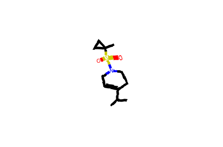 CC(C)C1=CCN(S(=O)(=O)C2(C)CC2)CC1